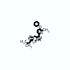 Cc1nc(-c2nnn(C)c2Cn2cc(CC(C)C)nn2)ccc1OC1CCCCC1